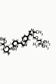 Cc1ncc(-c2ccn3c(-c4cccc(N[C@H]5CN(C(=O)OC(C)(C)C)CC[C@@H]5F)n4)cnc3c2)n1COCC[Si](C)(C)C